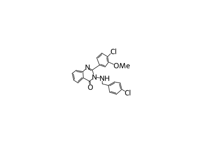 COc1cc(-c2nc3ccccc3c(=O)n2NCc2ccc(Cl)cc2)ccc1Cl